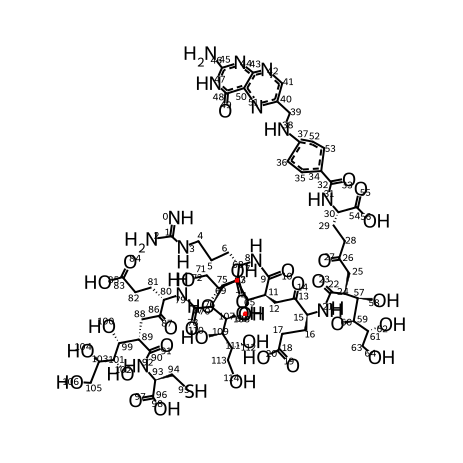 N=C(N)NCCC[C@H](NC(=O)[C@@H](CC(=O)[C@H](CCC(=O)O)NC(=O)[C@@H](CC(=O)CC[C@H](NC(=O)c1ccc(NCc2cnc3nc(N)[nH]c(=O)c3n2)cc1)C(=O)O)[C@@H](O)[C@H](O)[C@H](O)CO)[C@@H](O)[C@H](O)[C@H](O)CO)C(=O)C[C@H](C(=O)N[C@@H](CCC(=O)O)C(=O)C[C@H](C(=O)N[C@@H](CS)C(=O)O)[C@@H](O)[C@H](O)[C@H](O)CO)[C@@H](O)[C@H](O)[C@H](O)CO